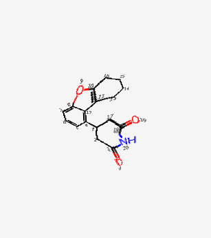 O=C1CC(c2cccc3oc4c(c23)CCCC4)CC(=O)N1